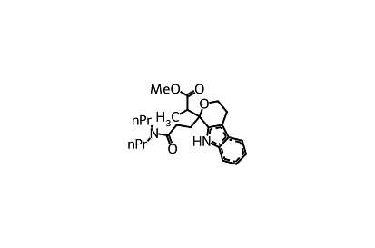 CCCN(CCC)C(=O)CCC1(C(C)C(=O)OC)OCCc2c1[nH]c1ccccc21